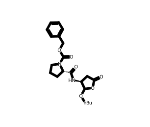 CCCCOC1OC(=O)C[C@@H]1NC(=O)[C@@H]1CCCN1C(=O)OCc1ccccc1